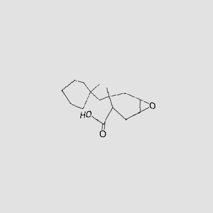 CC1(CC2(C)CC3OC3CC2C(=O)O)CCCCC1